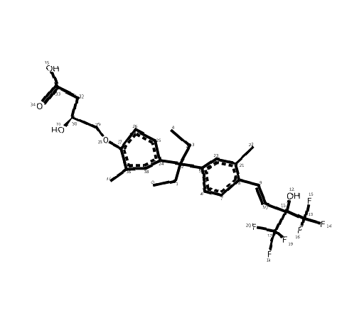 CCC(CC)(c1ccc(C=CC(O)(C(F)(F)F)C(F)(F)F)c(C)c1)c1ccc(OC[C@@H](O)CC(=O)O)c(C)c1